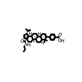 C=C(C)[C@@H]1CC[C@]2(C(=O)NCCC)CC[C@]3(C)[C@H](CC[C@@H]4[C@@]5(C)CC=C(c6ccc(C(=O)O)cc6)C(C)(C)[C@@H]5CC[C@]43C)[C@@H]12